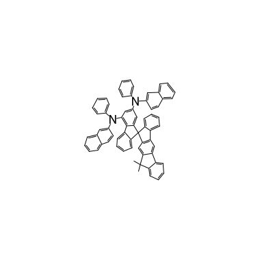 CC1(C)c2ccccc2-c2cc3c(cc21)C1(c2ccccc2-3)c2ccccc2-c2c(N(c3ccccc3)c3ccc4ccccc4c3)cc(N(c3ccccc3)c3ccc4ccccc4c3)cc21